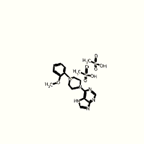 COc1ccccc1N1CCN(c2ncnc3nc[nH]c23)CC1.CS(=O)(=O)O.CS(=O)(=O)O